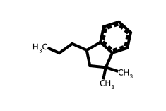 CCCC1CC(C)(C)c2ccccc21